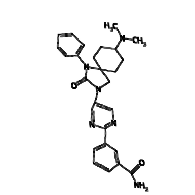 CN(C)C1CCC2(CC1)CN(c1cnc(-c3cccc(C(N)=O)c3)nc1)C(=O)N2c1ccccc1